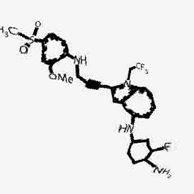 COc1cc(S(C)(=O)=O)ccc1NCC#Cc1cc2c(NC3CCC(N)C(F)C3)cccc2n1CC(F)(F)F